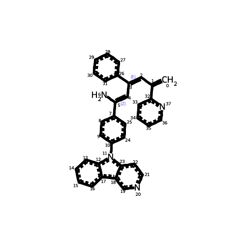 C=C(/C=C(\C=C(/N)c1ccc(-n2c3ccccc3c3cnccc32)cc1)c1ccccc1)c1ccccn1